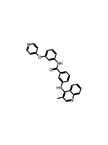 Cc1cnc2ccccc2c1Nc1cccc(C(=O)Nc2cccc(Oc3ccncc3)c2)c1